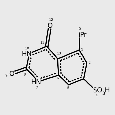 CC(C)c1cc(S(=O)(=O)O)cc2[nH]c(=O)[nH]c(=O)c12